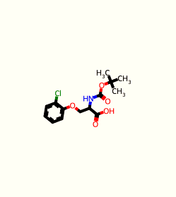 CC(C)(C)OC(=O)NC(COc1ccccc1Cl)C(=O)O